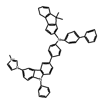 C[n+]1ccn(-c2ccc3c(c2)c2cc(-c4ccc(N(c5ccc(-c6ccccc6)cc5)c5ccc6c(c5)C(C)(C)C5=C6CCC=C5)cc4)ccc2n3-c2ccccc2)c1